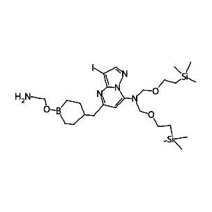 C[Si](C)(C)CCOCN(COCC[Si](C)(C)C)c1cc(CC2CCB(OCN)CC2)nc2c(I)cnn12